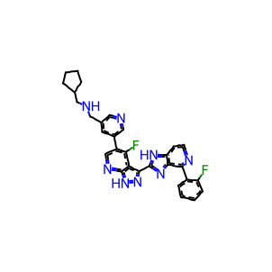 Fc1ccccc1-c1nccc2[nH]c(-c3n[nH]c4ncc(-c5cncc(CNCC6CCCC6)c5)c(F)c34)nc12